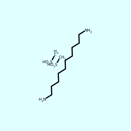 CS(=O)(=O)O.CS(=O)(=O)O.NCCCCCCCCCCN